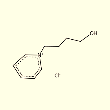 OCCCC[n+]1ccccc1.[Cl-]